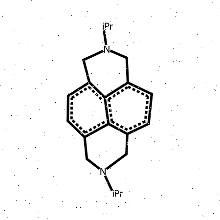 CC(C)N1Cc2ccc3c4c(ccc(c24)C1)CN(C(C)C)C3